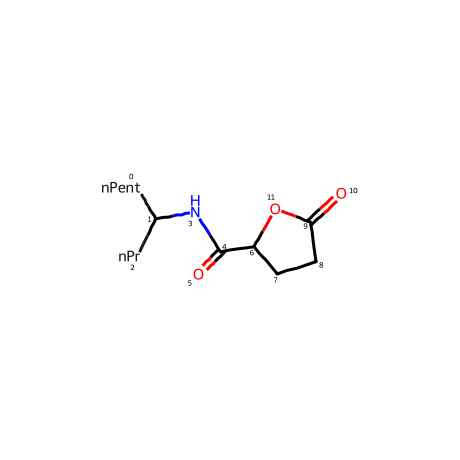 CCCCCC(CCC)NC(=O)C1CCC(=O)O1